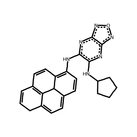 C1=CC2=C3C(=CC=C4C=CC(Nc5nc6nonc6nc5NC5CCCC5)=C(C=C2)C43)C1